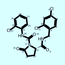 O=C(NCc1ccc(Cl)cc1Cl)[C@@H]1CCC(=O)N1C(=O)Nc1ccccc1Cl